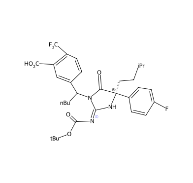 CCCCC(c1ccc(C(F)(F)F)c(C(=O)O)c1)N1C(=O)[C@@](CCC(C)C)(c2ccc(F)cc2)N/C1=N/C(=O)OC(C)(C)C